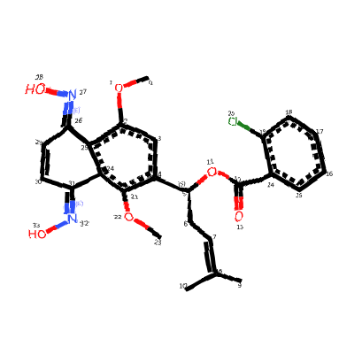 COc1cc([C@H](CC=C(C)C)OC(=O)c2ccccc2Cl)c(OC)c2c1/C(=N/O)C=C/C2=N\O